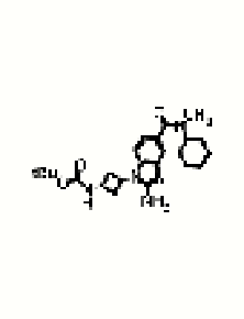 CN(C(=O)c1ccc2c(c1)nc(N)n2[C@H]1C[C@@H](NC(=O)OC(C)(C)C)C1)C1CCCCC1